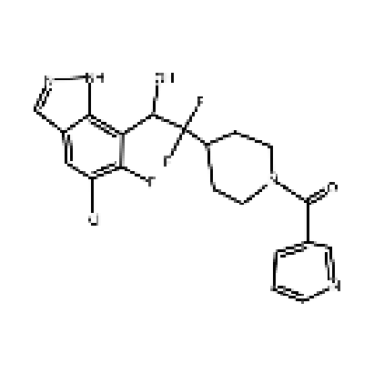 O=C(c1cccnc1)N1CCC(C(F)(F)C(O)c2c(F)c(Cl)cc3cn[nH]c23)CC1